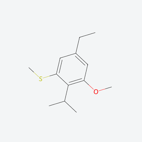 CCc1cc(OC)c(C(C)C)c(SC)c1